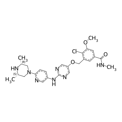 CNC(=O)c1cc(COc2cnc(Nc3ccc(N4C[C@@H](C)N[C@@H](C)C4)nc3)nc2)c(Cl)c(OC)c1